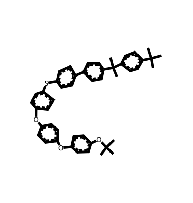 CC(C)(C)Oc1ccc(Oc2ccc(Oc3ccc(Sc4ccc(-c5ccc(C(C)(C)c6ccc(C(C)(C)C)cc6)cc5)cc4)cc3)cc2)cc1